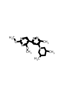 COc1ncc(-c2cc(N3CC(C)CC(C)C3)c(C)nn2)c(OC)n1